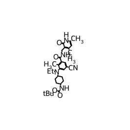 CCN(c1cc(C#N)cc(C(=O)NCc2c(C)cc(C)[nH]c2=O)c1C)C1CCC(NC(=O)OC(C)(C)C)CC1